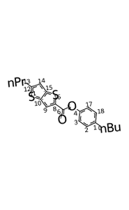 CCCCc1ccc(OC(=O)c2cc3sc(CCC)cc3s2)cc1